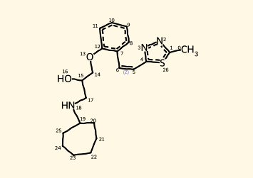 Cc1nnc(/C=C\c2ccccc2OCC(O)CNC2CCCCCC2)s1